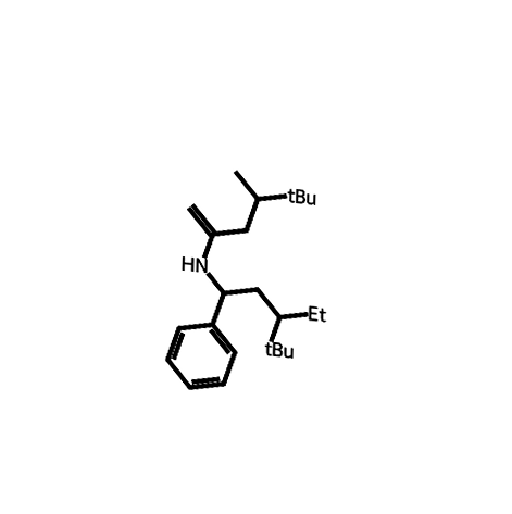 C=C(CC(C)C(C)(C)C)NC(CC(CC)C(C)(C)C)c1ccccc1